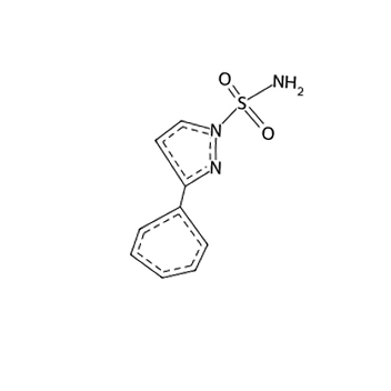 NS(=O)(=O)n1ccc(-c2ccccc2)n1